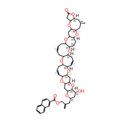 C=C(COC(=O)c1ccc2ccccc2c1)C[C@@H]1C[C@H](O)[C@@H]2O[C@@H]3C[C@]4(C)O[C@@H]5/C=C\C[C@@H]6O[C@H]7C(C/C=C\CC6OC5C/C=C\C4OC3CC2O1)OC1CC2OC3CC(=O)O[C@H]3C[C@@H](C)C[C@@]2(C)O[C@H]1C[C@@H]7C